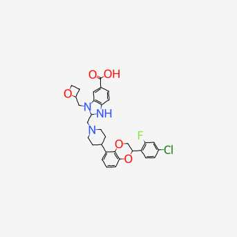 O=C(O)c1ccc2c(c1)N(CC1CCO1)C(CN1CCC(c3cccc4c3OCC(c3ccc(Cl)cc3F)O4)CC1)N2